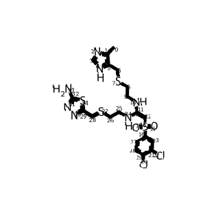 Cc1nc[nH]c1CSCCNC(=CS(=O)(=O)c1ccc(Cl)c(Cl)c1)NCCSCc1nnc(N)s1